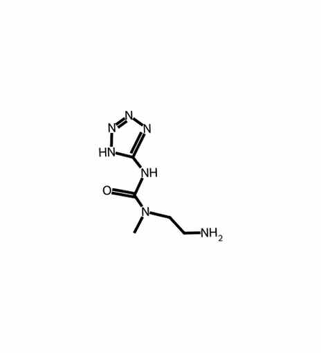 CN(CCN)C(=O)Nc1nnn[nH]1